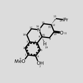 COc1cc2c(cc1O)[C@@H]1CC(=O)[C@@H](CC(C)C)CN1CC2